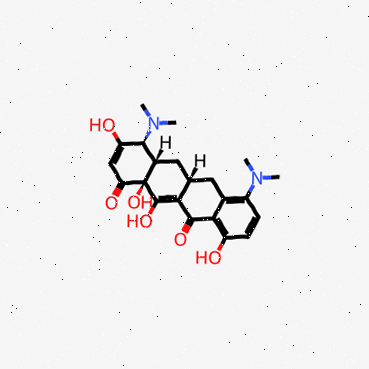 CN(C)c1ccc(O)c2c1C[C@H]1C[C@H]3[C@H](N(C)C)C(O)=CC(=O)[C@@]3(O)C(O)=C1C2=O